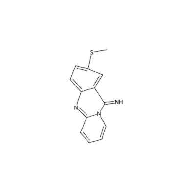 CSc1ccc2nc3ccccn3c(=N)c2c1